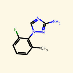 Nc1ncn(-c2c(F)cccc2C(F)(F)F)n1